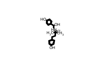 CC(C)(CCc1ccc(O)cc1)NCC(O)c1ccc(O)cc1.Cl